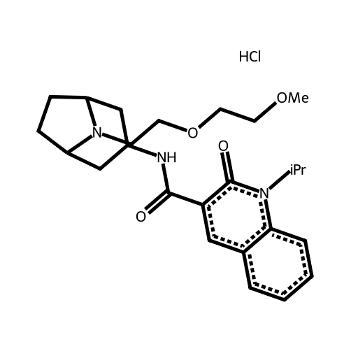 COCCOCCN1C2CCC1CC(NC(=O)c1cc3ccccc3n(C(C)C)c1=O)C2.Cl